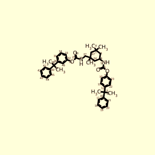 CC1(C)CC(NC(=O)Oc2ccc(C(C)(C)c3ccccc3)cc2)CC(C)(CNC(=O)Oc2cccc(C(C)(C)c3ccccc3)c2)C1